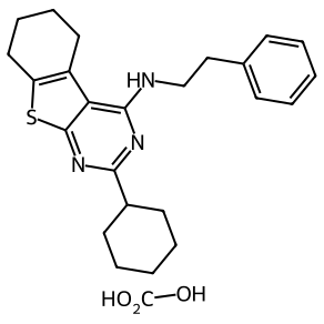 O=C(O)O.c1ccc(CCNc2nc(C3CCCCC3)nc3sc4c(c23)CCCC4)cc1